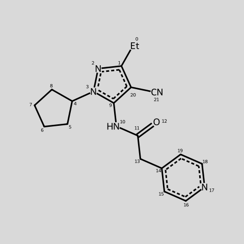 CCc1nn(C2CCCC2)c(NC(=O)Cc2ccncc2)c1C#N